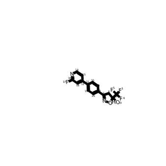 OC1(C(F)(F)F)CC(c2ccc(-c3ccnc(F)c3)cc2)=NO1